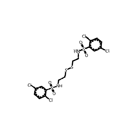 O=S(=O)(NCCSSCCNS(=O)(=O)c1cc(Cl)ccc1Cl)c1cc(Cl)ccc1Cl